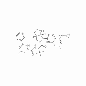 CCC[C@H](NC(=O)c1cnccn1)C(=O)N[C@H](C(=O)N1C[C@@H]2CCN[C@@H]2[C@H]1C(=O)N[C@@H](CCC)C(=O)C(=O)NC1CC1)C(C)(C)C